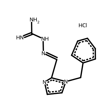 Cl.N=C(N)NN=Cc1nccn1Cc1ccccc1